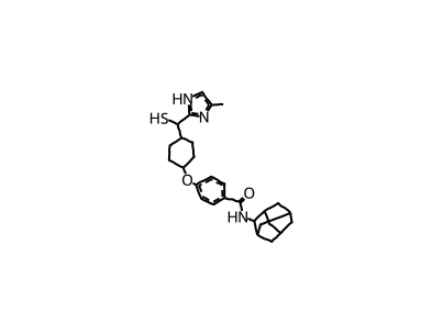 Cc1c[nH]c(C(S)C2CCC(Oc3ccc(C(=O)NC4C5CC6CC(C5)CC4C6)cc3)CC2)n1